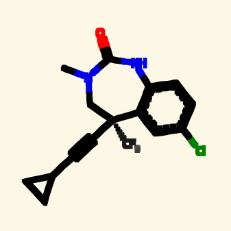 CN1C[C@@](C#CC2CC2)(C(F)(F)F)c2cc(Cl)ccc2NC1=O